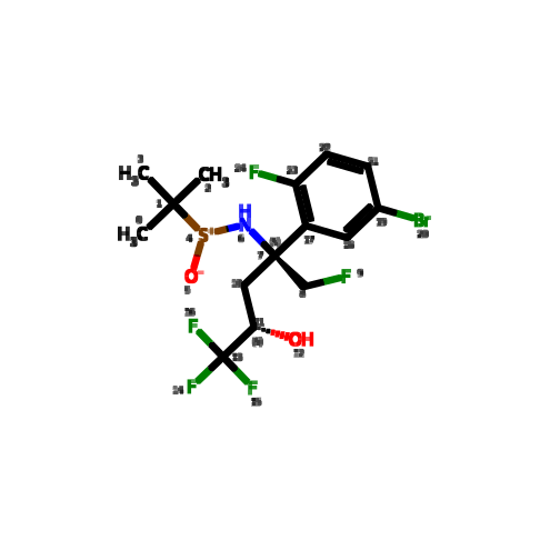 CC(C)(C)[S+]([O-])N[C@@](CF)(C[C@H](O)C(F)(F)F)c1cc(Br)ccc1F